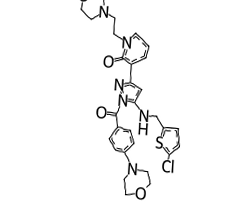 O=C(c1ccc(N2CCOCC2)cc1)n1nc(-c2cccn(CCN3CCOCC3)c2=O)cc1NCc1ccc(Cl)s1